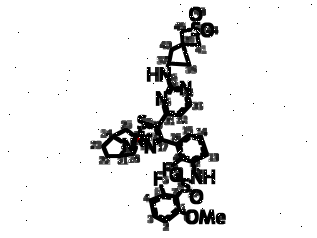 COc1cccc(F)c1S(=O)(=O)Nc1cccc(-c2nc(N3C4CCC3CN(C)C4)sc2-c2ccnc(NC3CC4(C3)CS(=O)(=O)C4)n2)c1F